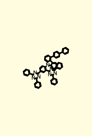 c1ccc(-c2ccc(-c3cccc4c3c3ccccc3n4-c3ccc(-c4nc(-c5ccccc5)nc(-c5ccccc5)n4)cc3-c3nc(-c4ccccc4)nc(-c4ccccc4)n3)cc2)cc1